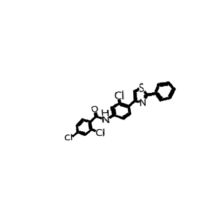 O=C(Nc1ccc(-c2csc(-c3ccccc3)n2)c(Cl)c1)c1ccc(Cl)cc1Cl